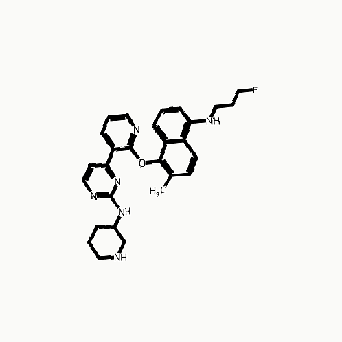 Cc1ccc2c(NCCCF)cccc2c1Oc1ncccc1-c1ccnc(NC2CCCNC2)n1